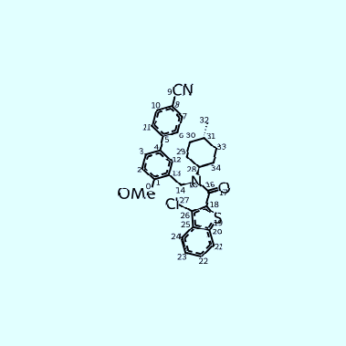 COc1ccc(-c2ccc(C#N)cc2)cc1CN(C(=O)c1sc2ccccc2c1Cl)[C@H]1CC[C@H](C)CC1